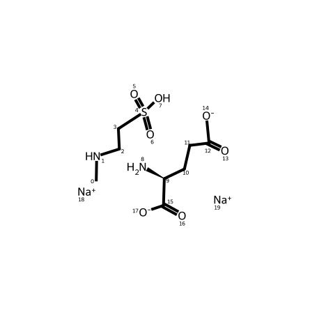 CNCCS(=O)(=O)O.N[C@@H](CCC(=O)[O-])C(=O)[O-].[Na+].[Na+]